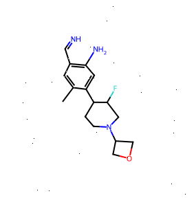 Cc1cc(C=N)c(N)cc1C1CCN(C2COC2)CC1F